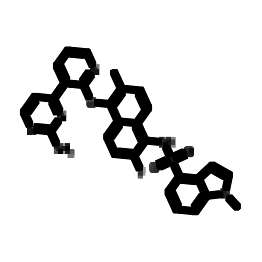 Cc1ccc2c(NS(=O)(=O)c3cccc4c3ccn4C)c(F)ccc2c1Oc1ncccc1-c1ccnc(N)n1